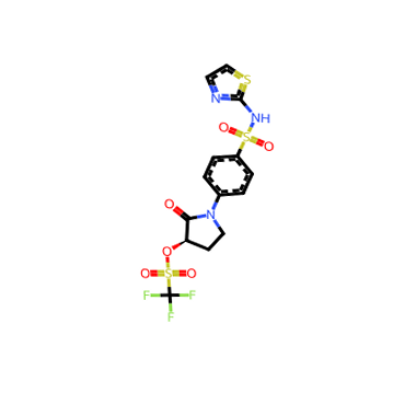 O=C1[C@H](OS(=O)(=O)C(F)(F)F)CCN1c1ccc(S(=O)(=O)Nc2nccs2)cc1